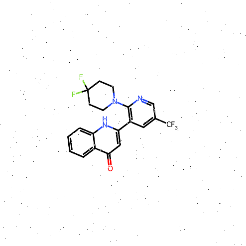 O=c1cc(-c2cc(C(F)(F)F)cnc2N2CCC(F)(F)CC2)[nH]c2ccccc12